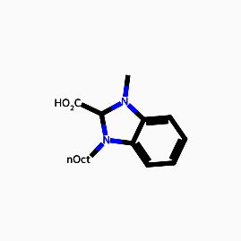 CCCCCCCCN1c2ccccc2N(C)C1C(=O)O